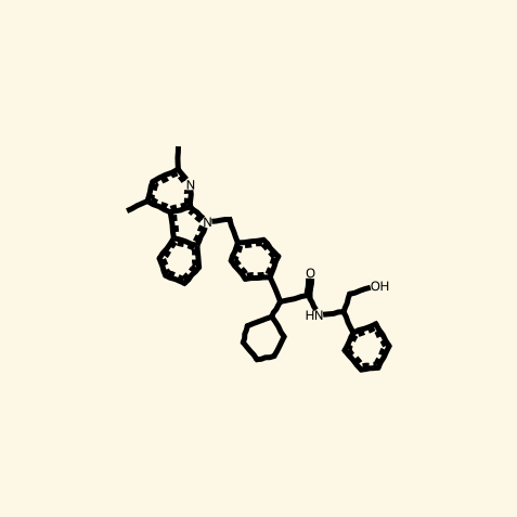 Cc1cc(C)c2c3ccccc3n(Cc3ccc(C(C(=O)NC(CO)c4ccccc4)C4CCCCC4)cc3)c2n1